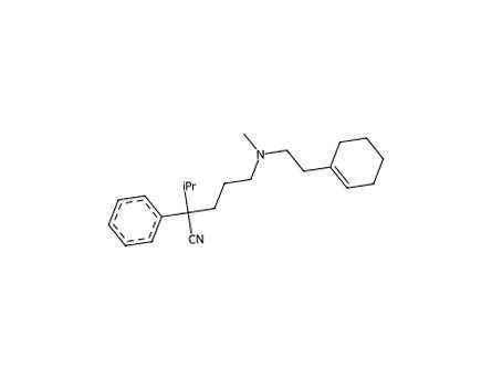 CC(C)C(C#N)(CCCN(C)CCC1=CCCCC1)c1ccccc1